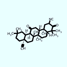 [C-]#[N+]C1C[C@]2(C)[C@H]3CC(=O)[C@@H]4[C@@H]5CC(C)(C)CC[C@]5(C#C)CC[C@@]4(C)[C@]3(C)CC[C@H]2C(C)(C)C1=O